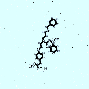 CCOC(Cc1ccc(OCCN(CCCSCc2ccccc2)C(=O)Oc2ccccc2OC(F)(F)F)cc1)C(=O)O